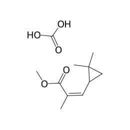 COC(=O)C(C)=CC1CC1(C)C.O=C(O)O